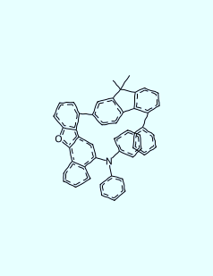 CC1(C)c2cc(-c3cccc4oc5c6ccccc6c(N(c6ccccc6)c6ccccc6)cc5c34)ccc2-c2c(-c3ccccc3)cccc21